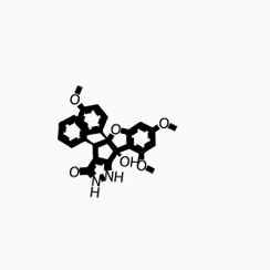 COc1ccc([C@@]23Oc4cc(OC)cc(OC)c4[C@]2(O)c2[nH][nH]c(=O)c2[C@H]3c2ccccc2)cc1